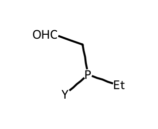 CC[P]([Y])CC=O